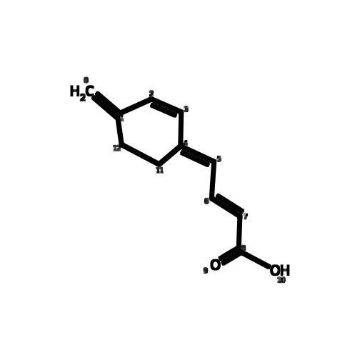 C=C1C=CC(=CC=CC(=O)O)CC1